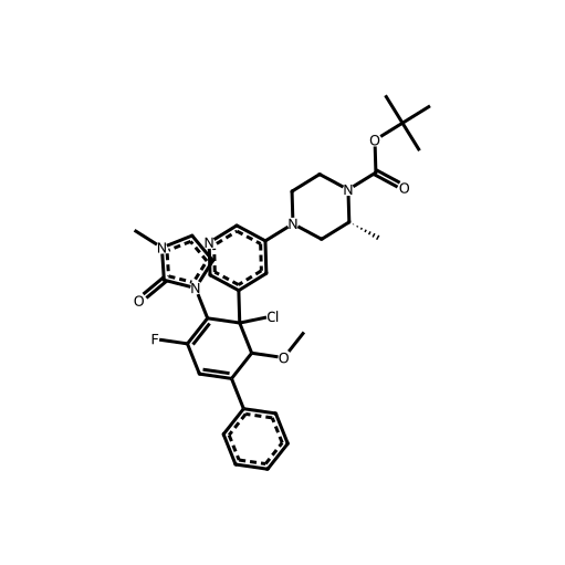 COC1C(c2ccccc2)=CC(F)=C(n2ccn(C)c2=O)C1(Cl)c1cncc(N2CCN(C(=O)OC(C)(C)C)[C@H](C)C2)c1